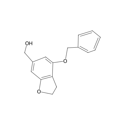 OCc1cc2c(c(OCc3ccccc3)c1)CCO2